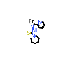 CCC(=NNC(=S)N1CCCCCC1)c1ccccn1